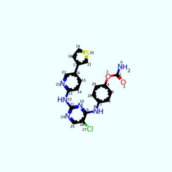 NC(=O)Oc1ccc(Nc2nc(Nc3ccc(-c4ccsc4)cn3)ncc2Cl)cc1